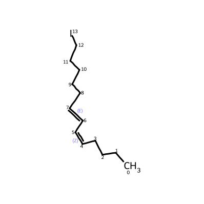 CCCC/C=C\C=C\CCCCCI